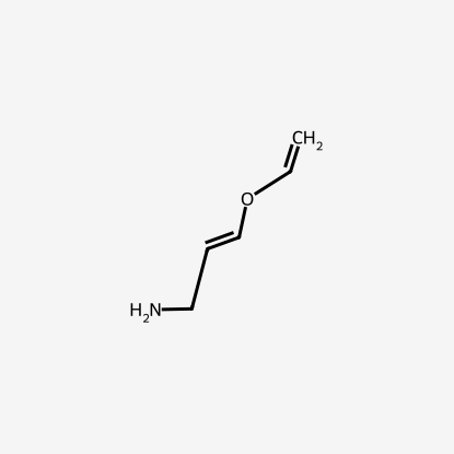 C=COC=CCN